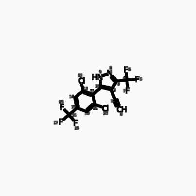 C#Cc1c(C(F)(F)F)n[nH]c1-c1c(Cl)cc(C(F)(F)F)cc1Cl